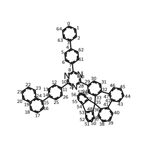 c1ccc(-c2ccc(-c3nc(-c4ccc(-c5cccc6ccccc56)cc4)nc(-c4ccc5c(c4)C4(c6ccccc6-c6ccccc6-5)c5ccccc5-c5ccccc54)n3)cc2)cc1